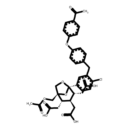 CC(=O)OC[C@@]12CO[C@](c3ccc(Cl)c(Cc4ccc(Oc5ccc(C(C)=O)cc5)cc4)c3)(O1)[C@H](CC(=O)O)[C@@H](CC(=O)O)[C@@H]2CC(=O)O